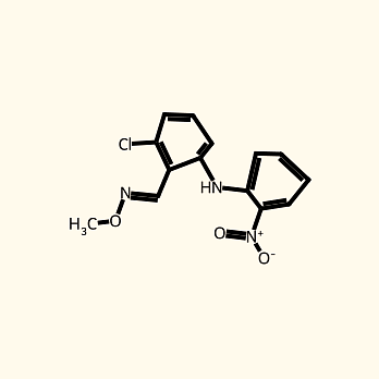 CO/N=C/c1c(Cl)cccc1Nc1ccccc1[N+](=O)[O-]